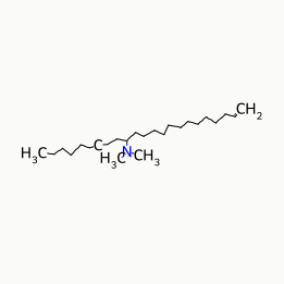 C=CCCCCCCCCCCCC(CCCCCCCCC)N(C)C